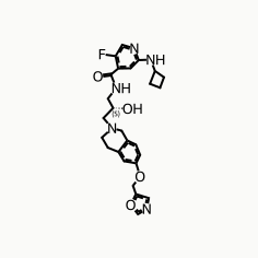 O=C(NC[C@H](O)CN1CCc2cc(OCc3cnco3)ccc2C1)c1cc(NC2CCC2)ncc1F